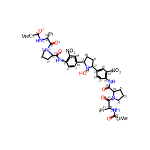 COC(=O)NC(C(=O)N1CCCC1C(=O)Nc1ccc(C2CCC(c3ccc(NC(=O)C4CCCN4C(=O)C(NC(=O)OC)C(C)C)c([N+](=O)[O-])c3)N2O)cc1[N+](=O)[O-])C(C)C